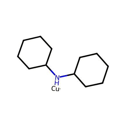 C1CCC(NC2CCCCC2)CC1.[Cu]